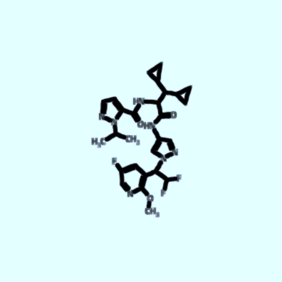 COc1ncc(F)cc1C(C(F)F)n1cc(NC(=O)C(NC(=O)c2ccnn2C(C)C)C(C2CC2)C2CC2)cn1